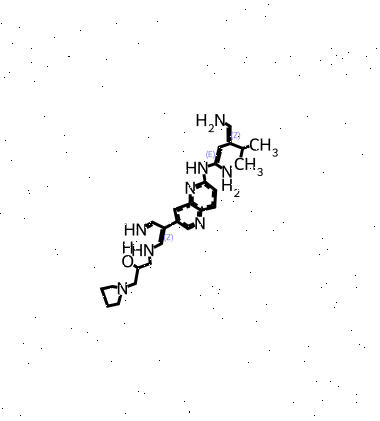 CC(C)C(=C/N)/C=C(\N)Nc1ccc2ncc(/C(C=N)=C/NCC(O)CN3CCCC3)cc2n1